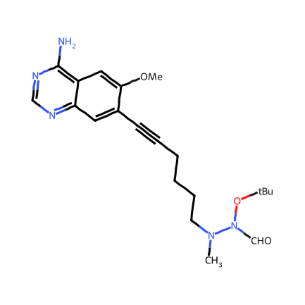 COc1cc2c(N)ncnc2cc1C#CCCCCN(C)N(C=O)OC(C)(C)C